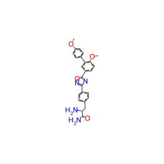 COc1ccc(-c2cc(-c3nc(-c4ccc(C[C@H](N)C(N)=O)cc4)no3)ccc2OC)cc1